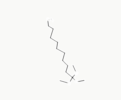 COC(CCCCCCCCC[SiH3])(OC)OC